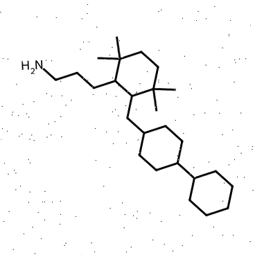 CC1(C)CCC(C)(C)C(CC2CCC(C3CCCCC3)CC2)C1CCCN